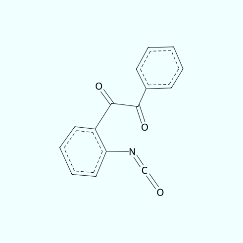 O=C=Nc1ccccc1C(=O)C(=O)c1ccccc1